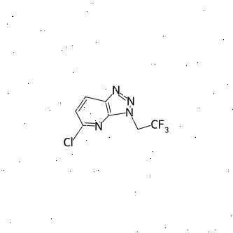 FC(F)(F)Cn1nnc2ccc(Cl)nc21